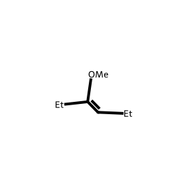 [CH2]CC=C(CC)OC